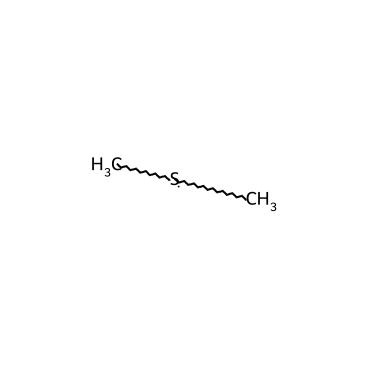 CCCCCCCCCCCCCCC[CH]SCCCCCCCCCCCC